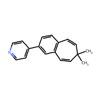 CC1(C)C=Cc2ccc(-c3ccncc3)cc2C=C1